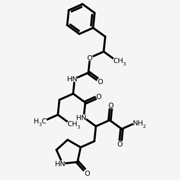 CC(C)CC(NC(=O)OC(C)Cc1ccccc1)C(=O)NC(CC1CCNC1=O)C(=O)C(N)=O